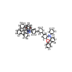 C1=CC(c2cccc(N(c3ccccc3)c3cccc4c3oc3ccccc34)c2)=CC(c2ccc3c(c2)c2ccccc2n3-c2cccc3c2C(c2ccccc2)(c2ccccc2)c2ccccc2-3)C1